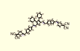 N#CC(C#N)=c1cc/c(=C\c2cc3sc(/C=C/c4sc(/C=C/c5cc6sc(/C=c7\ccc(=C(C#N)C#N)s7)cc6s5)c(-c5ccccc5)c4-c4ccccc4)cc3s2)s1